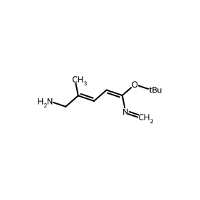 C=N/C(=C\C=C(/C)CN)OC(C)(C)C